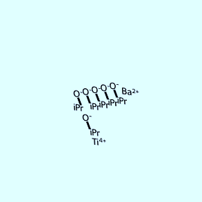 CC(C)[O-].CC(C)[O-].CC(C)[O-].CC(C)[O-].CC(C)[O-].CC(C)[O-].[Ba+2].[Ti+4]